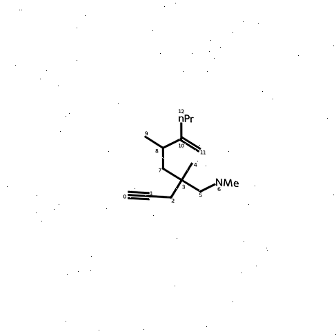 C#CCC(C)(CNC)CC(C)C(=C)CCC